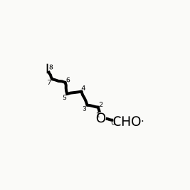 O=[C]OCCCCCCI